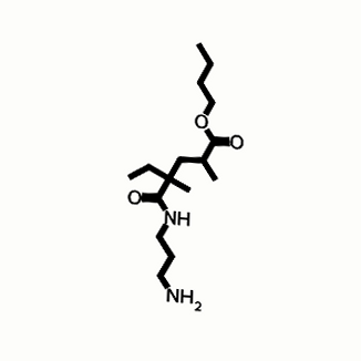 CCCCOC(=O)C(C)CC(C)(CC)C(=O)NCCCN